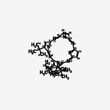 CC(C)(C)C1=Cc2nc1nc1c(C(C)(C)C)c(C(C)(C)C)c(nc3nc(nc4ccc(n2)[nH]4)C=C3)n1C(C)(C)C